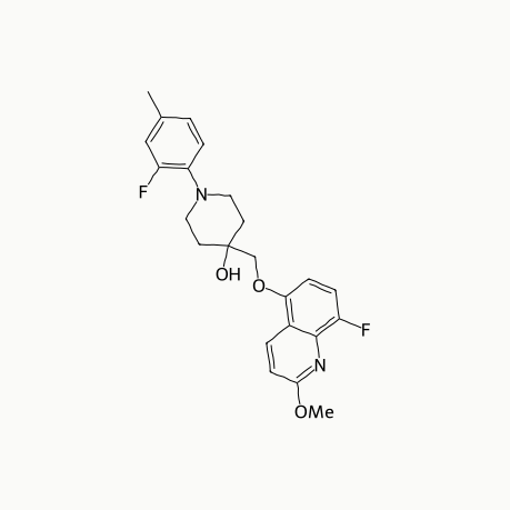 COc1ccc2c(OCC3(O)CCN(c4ccc(C)cc4F)CC3)ccc(F)c2n1